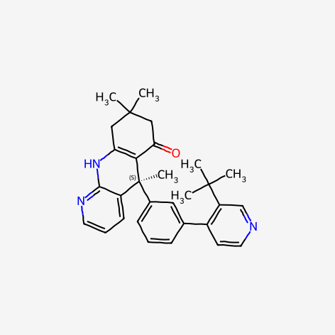 CC1(C)CC(=O)C2=C(C1)Nc1ncccc1[C@]2(C)c1cccc(-c2ccncc2C(C)(C)C)c1